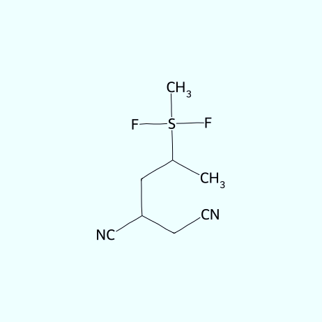 CC(CC(C#N)CC#N)S(C)(F)F